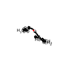 CC1(C)OCc2cc([C@@H](O)CN(CCCCCCOCCC#Cc3cccc(N4C(=O)CN(S(C)(=O)=O)C4=O)c3)Cc3ccccc3)ccc2O1